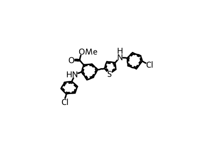 COC(=O)c1cc(-c2cc(Nc3ccc(Cl)cc3)cs2)ccc1Nc1ccc(Cl)cc1